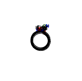 Cc1cnc(CN2C(=O)N(c3ccc(C#N)c(Cl)c3C)C(=O)C23CCCCCCCCCCCCCCCCCCCCCCCCCCCCCCCCCCCCCCCCC3)o1